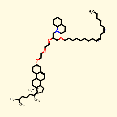 CCCCC/C=C\C/C=C\CCCCCCCCOCC(CN1CCCC2CCCCC21)OCCOCCO[C@H]1CCC2C(=CCC3C2CC[C@@]2(C)C3CC[C@@H]2[C@H](C)CCCC(C)C)C1